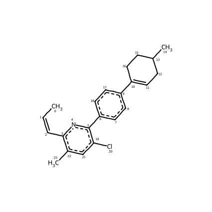 C/C=C\c1nc(-c2ccc(C3=CCC(C)CC3)cc2)c(Cl)cc1C